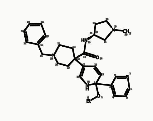 CCOC1(c2cccnc2)C=CC(C2(C(=O)N[C@H]3CCN(C)C3)CCN(Cc3ccccc3)CC2)=CN1